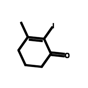 CC1=C(I)C(=O)CCC1